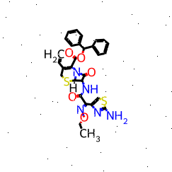 C=CC1=C(C(=O)OC(c2ccccc2)c2ccccc2)N2C(=O)C(NC(=O)/C(=N/OCC)c3csc(N)n3)[C@H]2SC1